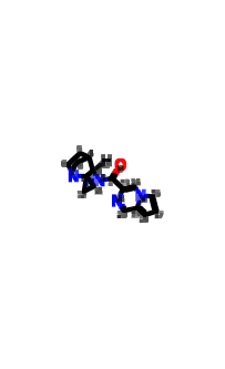 O=C(N[C@H]1C2CCN(CC2)C12CC2)c1cn2cccc2cn1